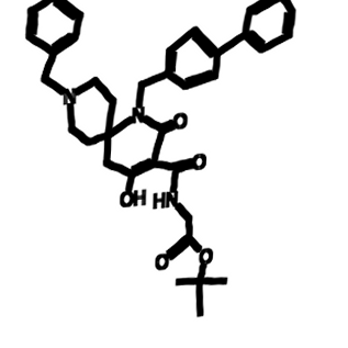 CC(C)(C)OC(=O)CNC(=O)C1=C(O)CC2(CCN(Cc3ccccc3)CC2)N(Cc2ccc(-c3ccccc3)cc2)C1=O